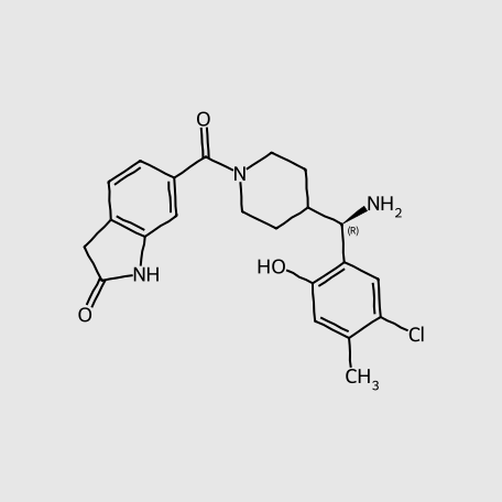 Cc1cc(O)c([C@H](N)C2CCN(C(=O)c3ccc4c(c3)NC(=O)C4)CC2)cc1Cl